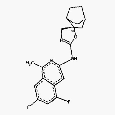 Cc1nc(NC2=NC[C@@]3(CN4CCC3CC4)O2)cc2c(F)cc(F)cc12